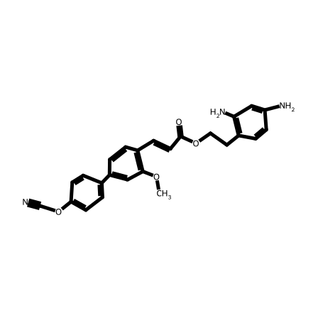 COc1cc(-c2ccc(OC#N)cc2)ccc1/C=C/C(=O)OCCc1ccc(N)cc1N